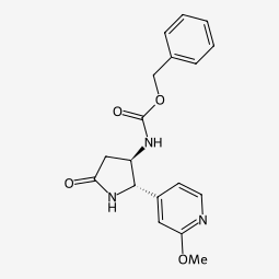 COc1cc([C@@H]2NC(=O)C[C@H]2NC(=O)OCc2ccccc2)ccn1